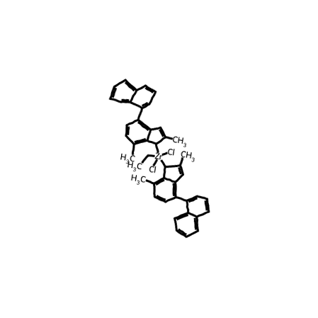 C[CH2][Zr]([Cl])([Cl])([CH]1C(C)=Cc2c(-c3cccc4ccccc34)ccc(C)c21)[CH]1C(C)=Cc2c(-c3cccc4ccccc34)ccc(C)c21